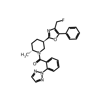 C[C@@H]1CC[C@@H](c2nc(CF)c(-c3ccccc3)o2)CN1C(=O)c1ccccc1-n1nccn1